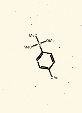 CO[Si](OC)(OC)c1ccc(OC(C)=O)cc1